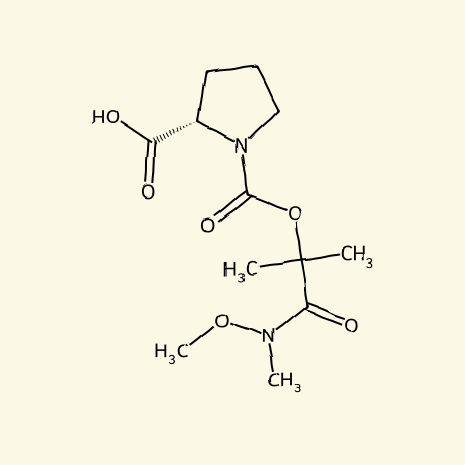 CON(C)C(=O)C(C)(C)OC(=O)N1CCC[C@H]1C(=O)O